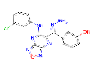 N/N=C(\c1cccc(O)c1)c1nc2nonc2nc1Nc1cccc(Cl)c1